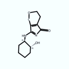 O=C1N=C(N[C@@H]2CCCC[C@H]2O)C2=C1CCOC2